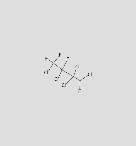 FC(Cl)C(Cl)(Cl)C(F)(Cl)C(F)(F)Cl